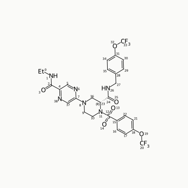 CCNC(=O)c1cnc(N2CCN(S(=O)(=O)c3ccc(OC(F)(F)F)cc3)[C@@H](C(=O)NCc3ccc(OC(F)(F)F)cc3)C2)cn1